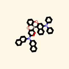 c1ccc(N(c2ccccc2)c2cc3c(c4ccccc24)B2c4c(cccc4Oc4cc(N(c5ccc6ccccc6c5)c5ccc6ccccc6c5)c5ccccc5c42)O3)cc1